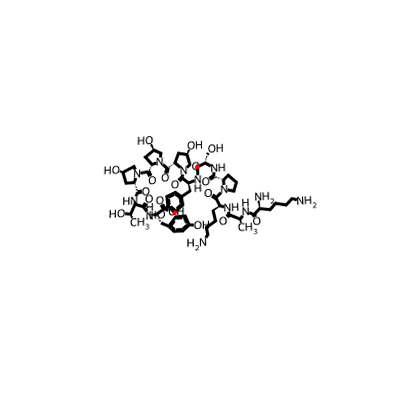 C[C@H](NC(=O)[C@@H](N)CCCCN)C(=O)N[C@@H](CCCCN)C(=O)N1CCC[C@H]1C(=O)N[C@@H](CO)C(=O)N[C@@H](Cc1ccc(O)cc1)C(=O)N1C[C@H](O)C[C@H]1C(=O)N1C[C@H](O)C[C@H]1C(=O)N1C[C@H](O)C[C@H]1C(=O)N[C@H](C(=O)N[C@@H](Cc1ccc(O)cc1)C(=O)O)[C@@H](C)O